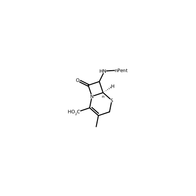 CCCCCNC1C(=O)N2C(C(=O)O)=C(C)CS[C@H]12